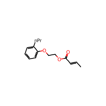 CC=CC(=O)OCCOc1ccccc1CCC